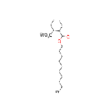 CCOC(=O)C1CCCCC1C(=O)OCCCCCCCCCC(C)C